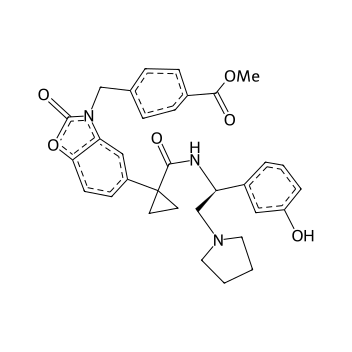 COC(=O)c1ccc(Cn2c(=O)oc3ccc(C4(C(=O)N[C@H](CN5CCCC5)c5cccc(O)c5)CC4)cc32)cc1